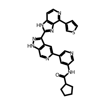 O=C(Nc1cncc(-c2cc3c(-c4nc5c(-c6ccsc6)nccc5[nH]4)n[nH]c3cn2)c1)C1CCCC1